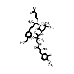 COc1ccc(C[C@@H](N)C(=O)NCC(C)(C)C(=O)NC(CC(C)(C)C)C(=O)O[C@@H](C/C=C/C(=O)O)[C@H](C)/C=C/c2ccc(CO)cc2)cc1Cl